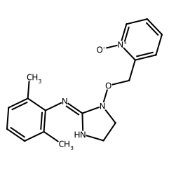 Cc1cccc(C)c1/N=C1\NCCN1OCc1cccc[n+]1[O-]